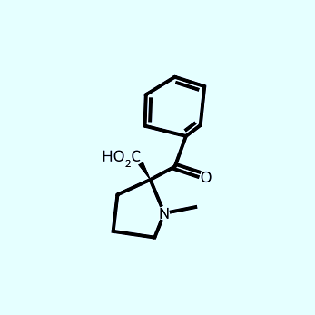 CN1CCC[C@]1(C(=O)O)C(=O)c1ccccc1